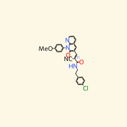 COc1ccc(-n2c(=O)c(/C=C(\C#N)C(=O)NCCc3ccc(Cl)cc3)cc3cccnc32)cc1